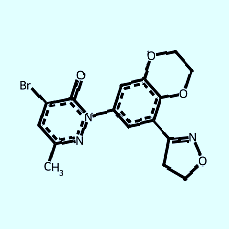 Cc1cc(Br)c(=O)n(-c2cc3c(c(C4=NOCC4)c2)OCCO3)n1